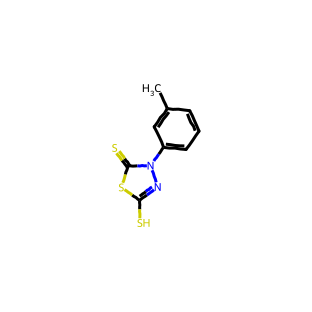 Cc1cccc(-n2nc(S)sc2=S)c1